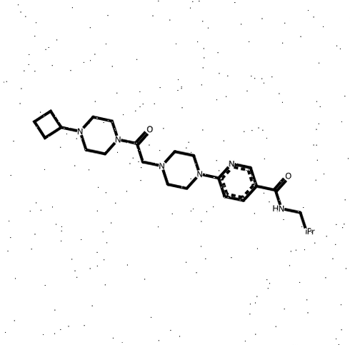 CC(C)CNC(=O)c1ccc(N2CCN(CC(=O)N3CCN(C4CCC4)CC3)CC2)nc1